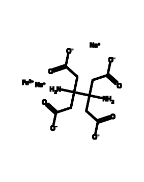 NC(CC(=O)[O-])(CC(=O)[O-])C(N)(CC(=O)[O-])CC(=O)[O-].[Fe+2].[Na+].[Na+]